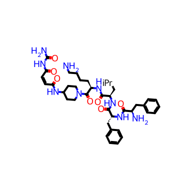 CC(C)C[C@@H](NC(=O)[C@@H](Cc1ccccc1)NC(=O)[C@H](N)Cc1ccccc1)C(=O)N[C@H](CCCCN)C(=O)N1CCC(NC(=O)/C=C\C(=O)NC(N)=O)CC1